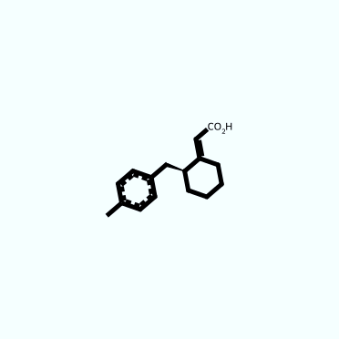 Cc1ccc(C[C@@H]2CCCCC2=CC(=O)O)cc1